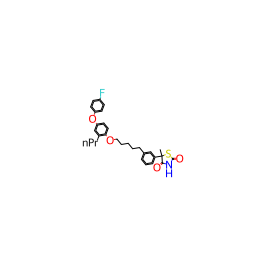 CCCc1cc(Oc2ccc(F)cc2)ccc1OCCCCCc1cccc(C2(C)SC(=O)NC2=O)c1